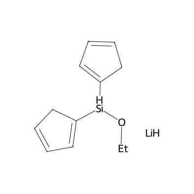 CCO[SiH](C1=CC=CC1)C1=CC=CC1.[LiH]